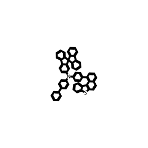 c1ccc(-c2ccc(N(c3ccc(-c4cccc5ccc6sc7ccccc7c6c45)cc3)c3ccc4c(c3)C3(c5ccccc5-c5ccccc53)c3ccccc3-4)cc2)cc1